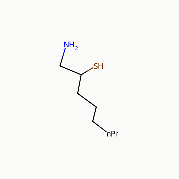 CCCCCCC(S)CN